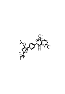 CC(C)Oc1cc(C(F)(F)F)nn1-c1ccc(CNc2nc(Cl)ncc2[N+](=O)[O-])cc1